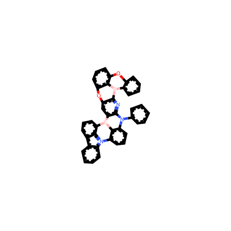 c1ccc(N2c3cccc4c3B(c3cc5c(nc32)B2c3ccccc3Oc3cccc(c32)O5)c2cccc3c5ccccc5n-4c23)cc1